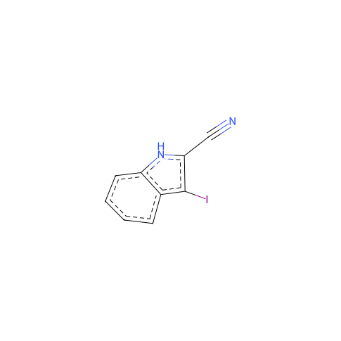 N#Cc1[nH]c2ccccc2c1I